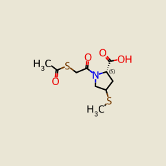 CSC1C[C@@H](C(=O)O)N(C(=O)CSC(C)=O)C1